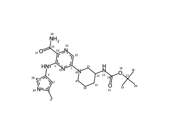 Cc1cc(Nc2nc(N3CCCC(NC(=O)OC(C)(C)C)C3)cnc2C(N)=O)sn1